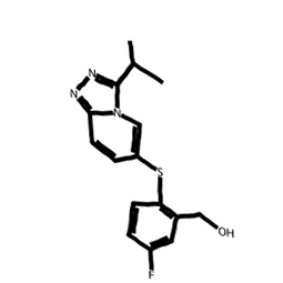 CC(C)c1nnc2ccc(Sc3ccc(F)cc3CO)cn12